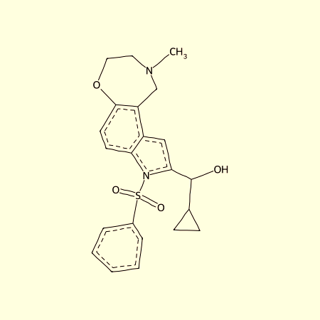 CN1CCOc2ccc3c(cc(C(O)C4CC4)n3S(=O)(=O)c3ccccc3)c2C1